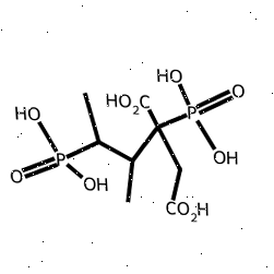 CC(C(C)P(=O)(O)O)C(CC(=O)O)(C(=O)O)P(=O)(O)O